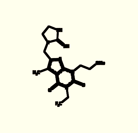 COCCn1c(=O)n(CC(F)(F)F)c(=O)c2c(C)c(CN3CCNC3=N)sc21